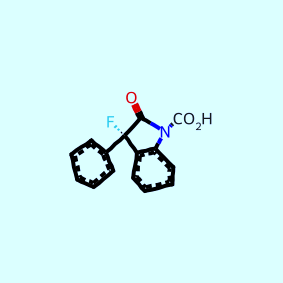 O=C(O)N1C(=O)[C@](F)(c2ccccc2)c2ccccc21